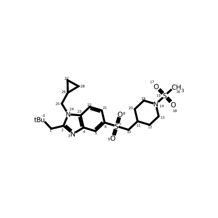 CC(C)(C)Cc1nc2cc(S(=O)(=O)CC3CCN(S(C)(=O)=O)CC3)ccc2n1CC1CC1